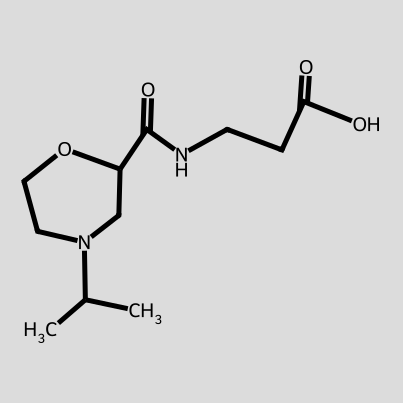 CC(C)N1CCOC(C(=O)NCCC(=O)O)C1